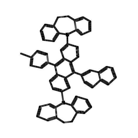 Cc1ccc(-c2c3ccc(N4c5ccccc5CCc5ccccc54)cc3c(-c3ccc4ccccc4c3)c3ccc(N4c5ccccc5CCc5ccccc54)cc23)cc1